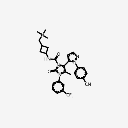 Cc1c(-c2ccnn2-c2ccc(C#N)cc2)n(C(=O)NC2CC(C[N+](C)(C)C)C2)c(=O)n1-c1cccc(C(F)(F)F)c1